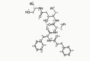 CCC(C)[C@@H](CO)NC(=O)CC(O)C(CC(C)C)NC(=O)[C@H](CC(C)C)NC(=O)[C@H](Cc1cccnc1)NC(=O)OCc1ccccc1